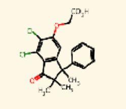 CC1(C)C(=O)c2c(cc(OCC(=O)O)c(Cl)c2Cl)C1(C)c1ccccc1